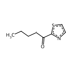 CCC[CH]C(=O)c1nccs1